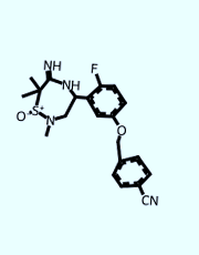 CN1CC(c2cc(OCc3ccc(C#N)cc3)ccc2F)NC(=N)C(C)(C)[S+]1[O-]